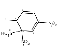 CC1C=CC([N+](=O)[O-])=CC1([N+](=O)[O-])S(=O)(=O)O